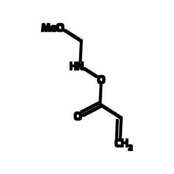 C=CC(=O)ONCOC